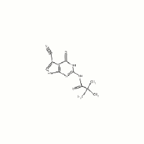 CC(C)(C)C(=O)Nc1nc2[nH]cc(C#N)c2c(=O)[nH]1